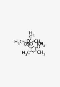 CCO[Si](Cc1cc(OC)c(C)cc1C)(OCC)OCC